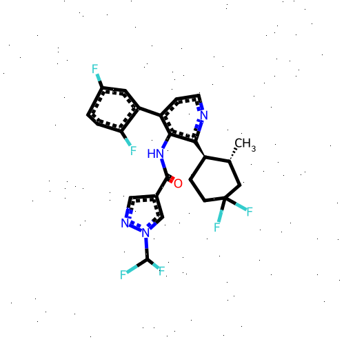 C[C@@H]1CC(F)(F)CC[C@H]1c1nccc(-c2cc(F)ccc2F)c1NC(=O)c1cnn(C(F)F)c1